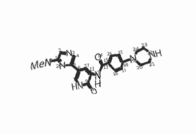 CNc1cncc(-c2c[nH]c(=O)c(NC(=O)c3ccc(N4CCNCC4)cc3)c2)n1